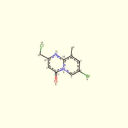 Cc1cc(Br)cn2c(=O)cc(CCl)nc12